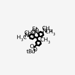 CCOP1(=O)C2=CC(=[N+](C)C)C=CC2=C(c2cc(C(=O)OC(C)(C)C)ccc2C)c2ccc(N(C)C)cc21